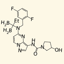 BC(B)(CC)N(Cc1cc(F)ccc1F)c1ccn2ncc(NC(=O)N3CCC(O)C3)c2n1